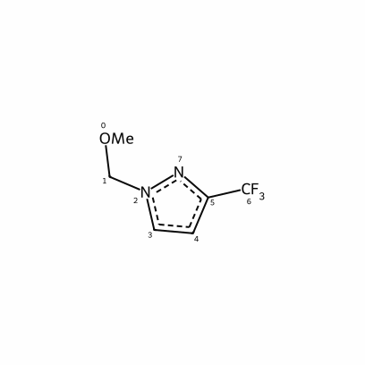 COCn1ccc(C(F)(F)F)n1